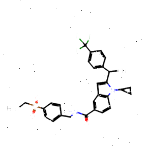 CCS(=O)(=O)c1ccc(CNC(=O)c2ccc3c(c2)cc(C(C)c2ccc(C(F)(F)F)cc2)n3C2CC2)cc1